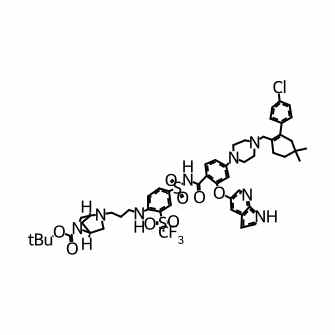 CC1(C)CCC(CN2CCN(c3ccc(C(=O)NS(=O)(=O)c4ccc(NCCCN5C[C@H]6C[C@@H]5CN6C(=O)OC(C)(C)C)c(S(=O)(=O)C(F)(F)F)c4)c(Oc4cnc5[nH]ccc5c4)c3)CC2)=C(c2ccc(Cl)cc2)C1